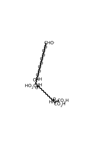 O=[C]CCOCCOCCOCCOCCOCCOCCOCCOCCNC(=O)CC[C@H](NC(=O)CCCCCCCCCCCCCCC(=O)N[C@@H](CCC(=O)O)C(=O)O)C(=O)O